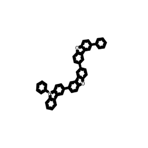 c1ccc(-c2ccc3oc4ccc(-c5ccc6oc7ccc(-c8ccc9c(c8)c8ccccc8n9-c8ccccc8)cc7c6c5)cc4c3c2)cc1